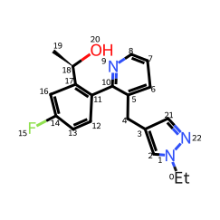 CCn1cc(Cc2cccnc2-c2ccc(F)cc2[C@@H](C)O)cn1